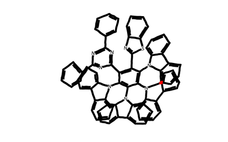 c1ccc(-c2nc(-c3ccccc3)nc(-c3c(-c4nc5ccccc5s4)c(-n4c5ccccc5c5ccccc54)c(-n4c5ccccc5c5ccccc54)c(-n4c5ccccc5c5ccccc54)c3-n3c4ccccc4c4ccccc43)n2)cc1